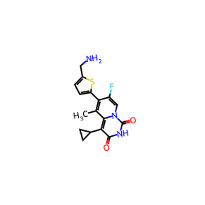 Cc1c(-c2ccc(CN)s2)c(F)cn2c(=O)[nH]c(=O)c(C3CC3)c12